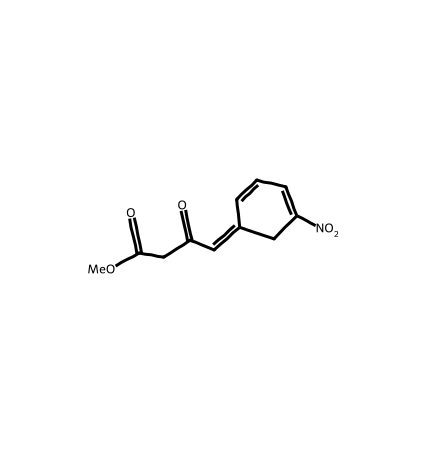 COC(=O)CC(=O)C=C1C=CC=C([N+](=O)[O-])C1